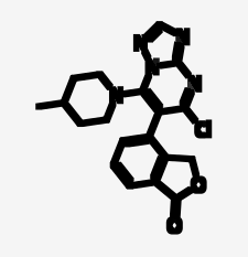 CC1CCN(c2c(-c3cccc4c3COC4=O)c(Cl)nc3ncnn23)CC1